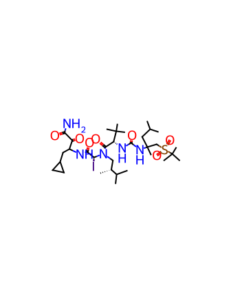 CC(C)CC(C)(CS(=O)(=O)C(C)(C)C)NC(=O)N[C@H](C(=O)N(C[C@@H](C)C(C)C)[C@@H](I)C(=O)NC(CC1CC1)C(=O)C(N)=O)C(C)(C)C